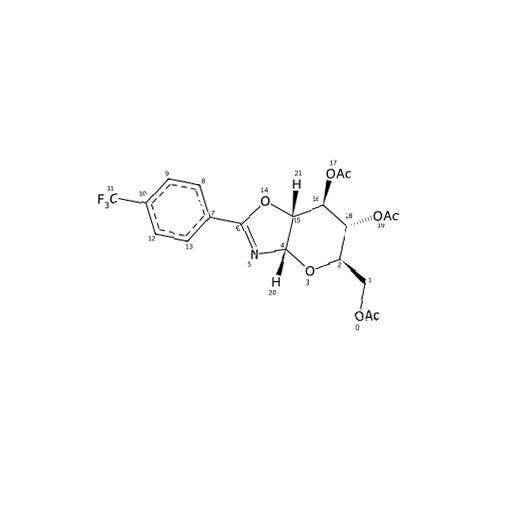 CC(=O)OC[C@H]1O[C@@H]2N=C(c3ccc(C(F)(F)F)cc3)O[C@@H]2[C@@H](OC(C)=O)[C@@H]1OC(C)=O